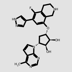 Cc1ncnc2c1ccn2[C@@H]1C[C@H](Oc2cc(-c3cn[nH]c3)c(F)c3c2CNCC3)[C@@H](O)[C@H]1O